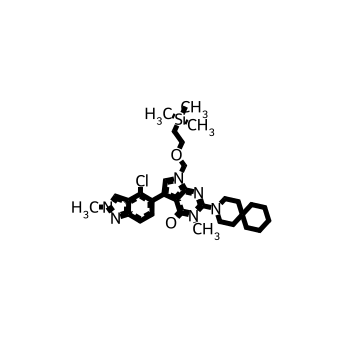 Cn1cc2c(Cl)c(-c3cn(COCC[Si](C)(C)C)c4nc(N5CCC6(CCCCC6)CC5)n(C)c(=O)c34)ccc2n1